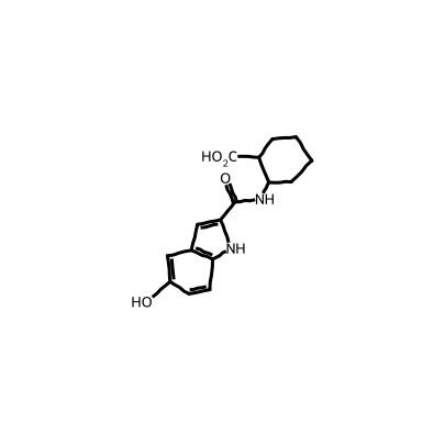 O=C(NC1CCCCC1C(=O)O)c1cc2cc(O)ccc2[nH]1